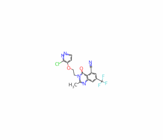 Cc1nc2cc(C(F)(F)F)cc(C#N)c2c(=O)n1CCOc1ccnnc1Cl